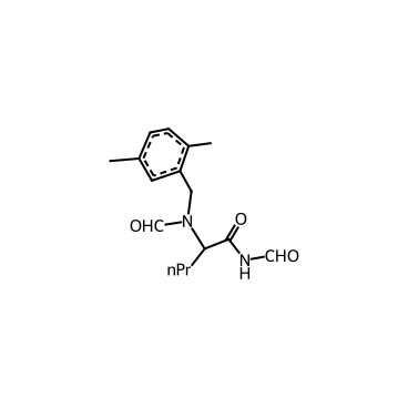 CCCC(C(=O)NC=O)N(C=O)Cc1cc(C)ccc1C